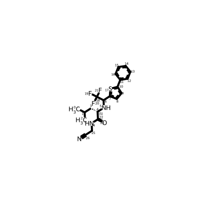 CC(C)C[C@H](NC(c1ccc(-c2ccccc2)s1)C(F)(F)F)C(=O)NCC#N